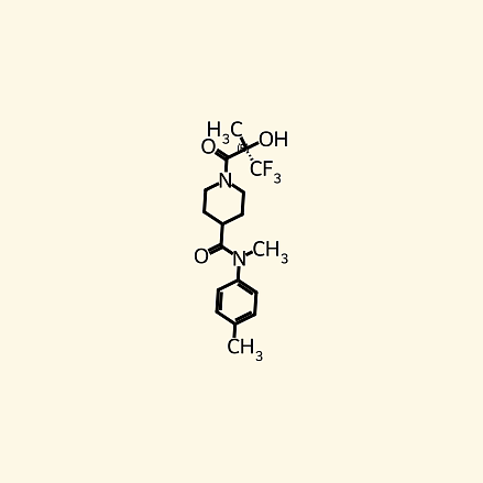 Cc1ccc(N(C)C(=O)C2CCN(C(=O)[C@@](C)(O)C(F)(F)F)CC2)cc1